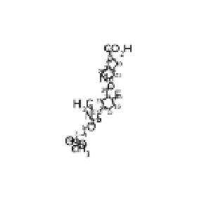 CC1N=C(OCCCS(C)(=O)=O)SC1c1ccc(F)c(COc2cc3c(cn2)C2C(C3)C2C(=O)O)c1